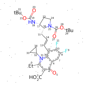 CCc1c(C(=O)O)c(=O)c2cc(F)c(F)c(C=CC[C@@H]3[C@H](NC(=O)OC(C)(C)C)CCN3C(=O)OC(C)(C)C)c2n1C1CC1